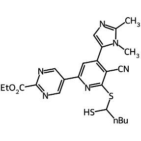 CCCCC(S)Sc1nc(-c2cnc(C(=O)OCC)nc2)cc(-c2cnc(C)n2C)c1C#N